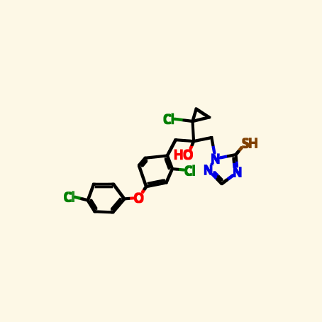 OC(Cc1ccc(Oc2ccc(Cl)cc2)cc1Cl)(Cn1ncnc1S)C1(Cl)CC1